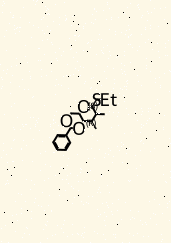 CCS[C@@H]1OC2COC(c3ccccc3)OC2[C@H](C)C1C